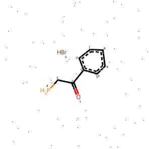 Br.O=C(CP)c1ccccc1